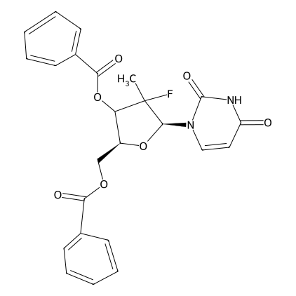 CC1(F)C(OC(=O)c2ccccc2)[C@H](COC(=O)c2ccccc2)O[C@@H]1n1ccc(=O)[nH]c1=O